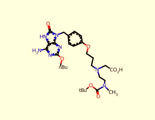 CCCCOc1nc(N)c2[nH]c(=O)n(Cc3ccc(OCCCN(CCN(C)C(=O)OC(C)(C)C)CC(=O)O)cc3)c2n1